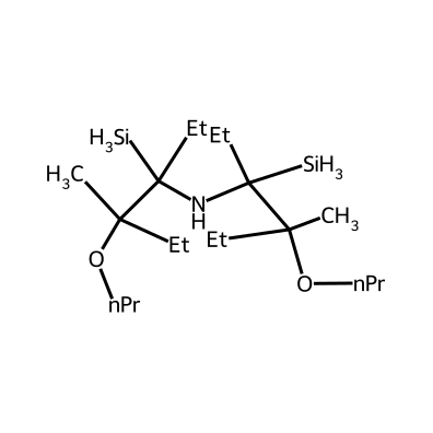 CCCOC(C)(CC)C([SiH3])(CC)NC([SiH3])(CC)C(C)(CC)OCCC